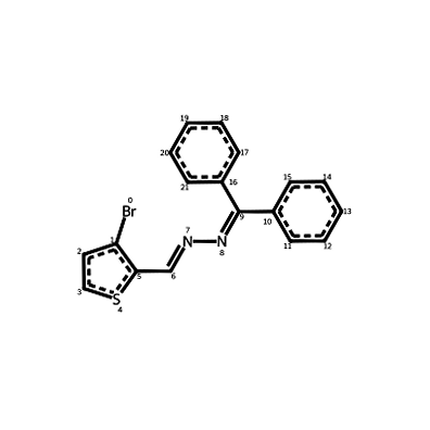 Brc1ccsc1C=NN=C(c1ccccc1)c1ccccc1